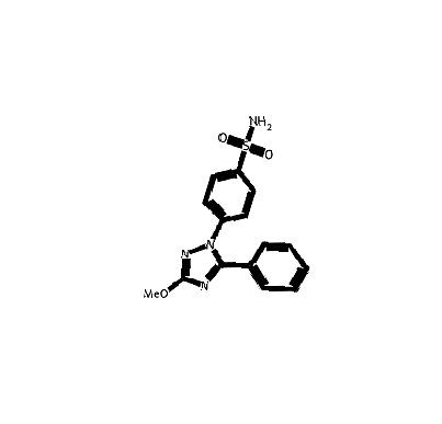 COc1nc(-c2ccccc2)n(-c2ccc(S(N)(=O)=O)cc2)n1